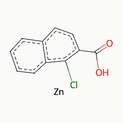 O=C(O)c1ccc2ccccc2c1Cl.[Zn]